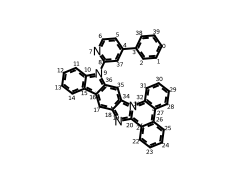 c1ccc(-c2ccnc(-n3c4ccccc4c4cc5nc6c7ccccc7c7ccccc7n6c5cc43)c2)cc1